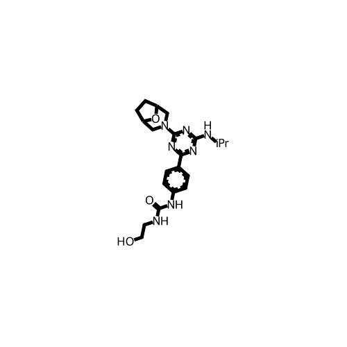 CC(C)Nc1nc(-c2ccc(NC(=O)NCCO)cc2)nc(N2CC3CCC(C2)O3)n1